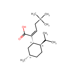 CC(C)[C@H]1CC[C@H](C)C[C@@H]1C(=CC[Si](C)(C)C)C(=O)O